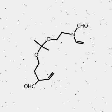 C=CC(C=O)CCOC(C)(C)OCCN(C=C)C=O